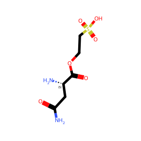 NC(=O)C[C@H](N)C(=O)OCCS(=O)(=O)O